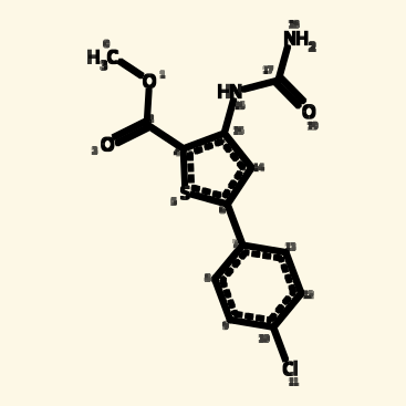 COC(=O)c1sc(-c2ccc(Cl)cc2)cc1NC(N)=O